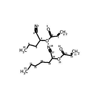 C=CC(=O)OC(C#N)CCC.C=CC(=O)OC(C#N)CCCCC